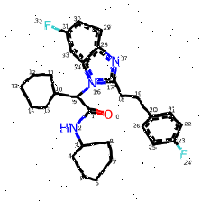 O=C(NC1CCCCC1)C(C1CCCCC1)n1c(CCc2ccc(F)cc2)nc2ccc(F)cc21